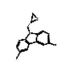 Fc1ccc2c(c1)c1cc(F)ccc1n2C[C@@H]1CO1